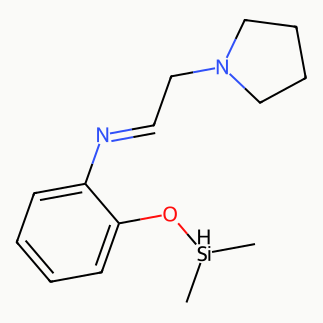 C[SiH](C)Oc1ccccc1N=CCN1CCCC1